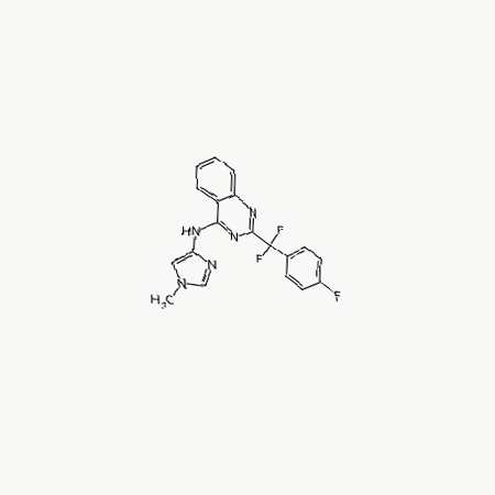 Cn1cnc(Nc2nc(C(F)(F)c3ccc(F)cc3)nc3ccccc23)c1